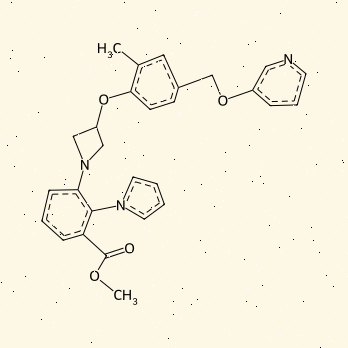 COC(=O)c1cccc(N2CC(Oc3ccc(COc4cccnc4)cc3C)C2)c1-n1cccc1